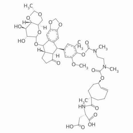 COc1cc([C@@H]2c3cc4c(cc3C(OC3O[C@@H]5CO[C@@H](C)O[C@H]5[C@H](O)[C@H]3O)[C@H]3CCC(=O)[C@H]23)OCO4)cc(C)c1OC(=O)N(C)CCN(C)C(=O)O[C@H]1/C=C/CC[C@@](C)(C(=O)N[C@@H](CC(=O)O)C(=O)O)CC1